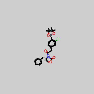 CC1(C)OB(c2ccc(CC(=O)N3C(=O)OC[C@@H]3Cc3ccccc3)cc2Cl)OC1(C)C